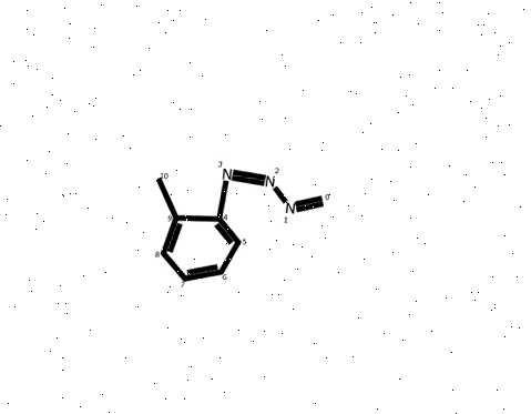 C=N/N=N\c1ccccc1C